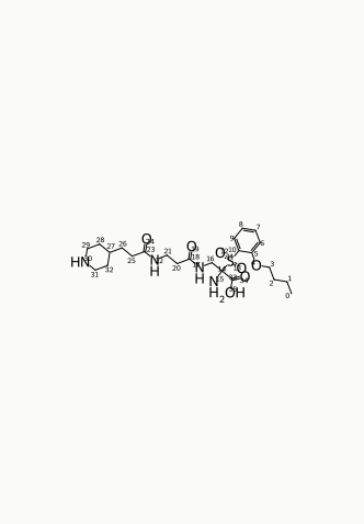 CCCCOc1ccccc1S(=O)(=O)C(N)(CNC(=O)CCNC(=O)CCC1CCNCC1)C(=O)O